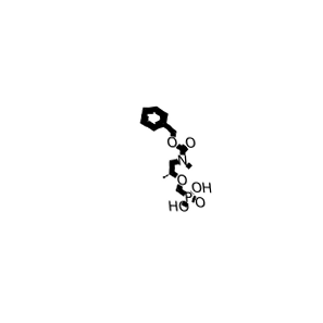 C[C@H](CN(C)C(=O)OCc1ccccc1)OCP(=O)(O)O